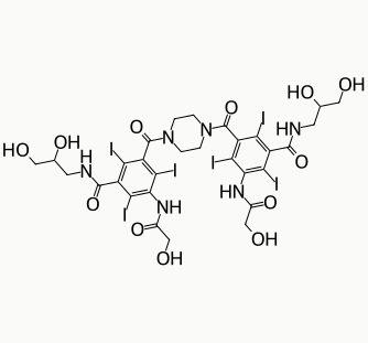 O=C(CO)Nc1c(I)c(C(=O)NCC(O)CO)c(I)c(C(=O)N2CCN(C(=O)c3c(I)c(NC(=O)CO)c(I)c(C(=O)NCC(O)CO)c3I)CC2)c1I